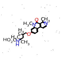 Cc1nccc2c1c(=O)n(C)c1cc(OCC(C)CC(C)(C)NC(=O)O)ccc21